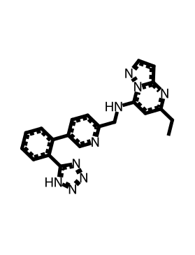 CCc1cc(NCc2ccc(-c3ccccc3-c3nnn[nH]3)cn2)n2nccc2n1